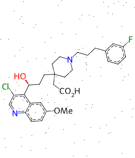 COc1ccc2ncc(Cl)c([C@@H](O)CCC3(CC(=O)O)CCN(CCCc4cccc(F)c4)CC3)c2c1